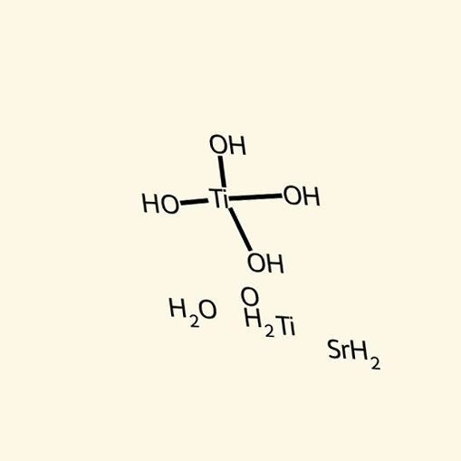 O.O.[OH][Ti]([OH])([OH])[OH].[SrH2].[Ti]